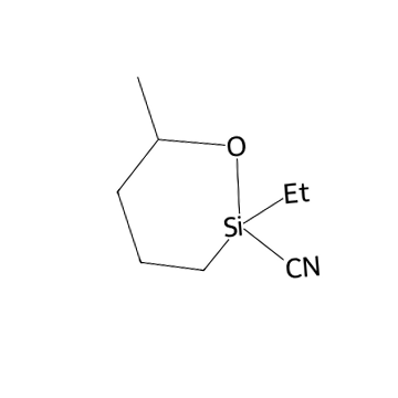 CC[Si]1(C#N)CCCC(C)O1